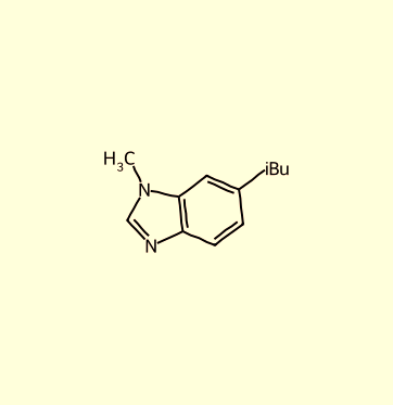 CCC(C)c1ccc2ncn(C)c2c1